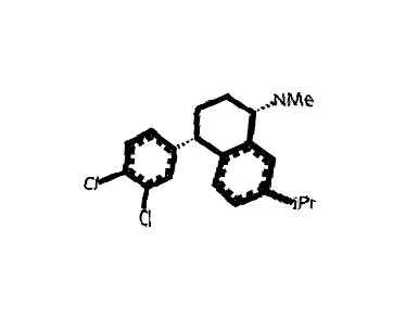 CN[C@H]1CC[C@@H](c2ccc(Cl)c(Cl)c2)c2ccc(C(C)C)cc21